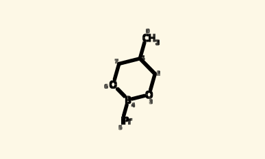 CC1COB(C(C)C)OC1